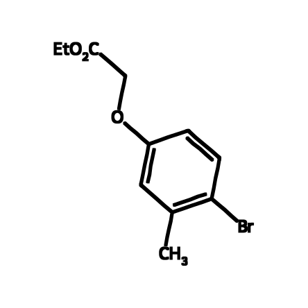 CCOC(=O)COc1ccc(Br)c(C)c1